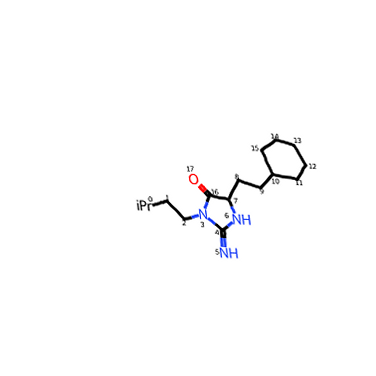 CC(C)CCN1C(=N)NC(CCC2CCCCC2)C1=O